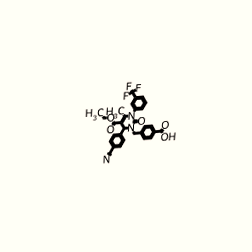 CCOC(=O)C1=C(C)N(c2cccc(C(F)(F)F)c2)C(=O)N(Cc2ccc(C(=O)O)cc2)C1c1ccc(C#N)cc1